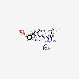 CCCCCC[N+]1=C(/C=C/C=C/C=C2\N(CCCS(=O)(=O)O)N=C(C)C2(C)CCCS(=O)(=O)O)C(C)(CCCS(=O)(=O)O)c2cc(SOOO)ccc21